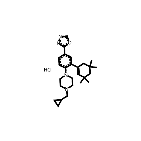 CC1(C)C=C(c2cc(-c3nnco3)ccc2N2CCN(CC3CC3)CC2)CC(C)(C)C1.Cl